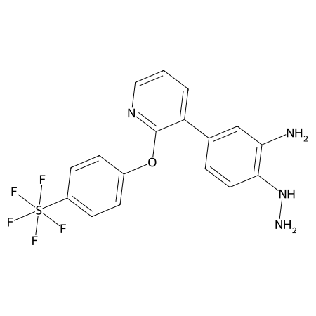 NNc1ccc(-c2cccnc2Oc2ccc(S(F)(F)(F)(F)F)cc2)cc1N